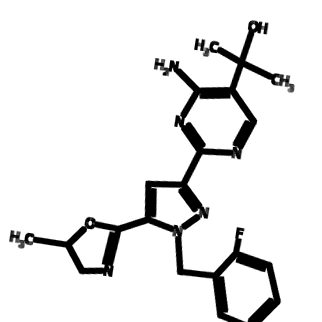 CC1CN=C(c2cc(-c3ncc(C(C)(C)O)c(N)n3)nn2Cc2ccccc2F)O1